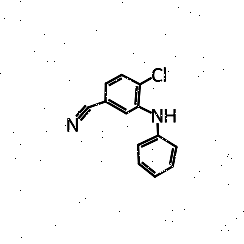 N#Cc1ccc(Cl)c(Nc2ccccc2)c1